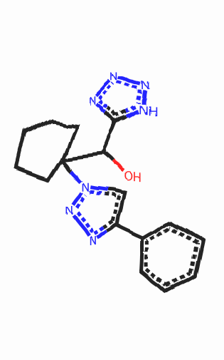 OC(c1nnn[nH]1)C1(n2cc(-c3ccccc3)nn2)CCCCC1